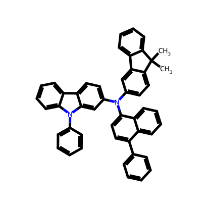 CC1(C)c2ccccc2-c2cc(N(c3ccc4c5ccccc5n(-c5ccccc5)c4c3)c3ccc(-c4ccccc4)c4ccccc34)ccc21